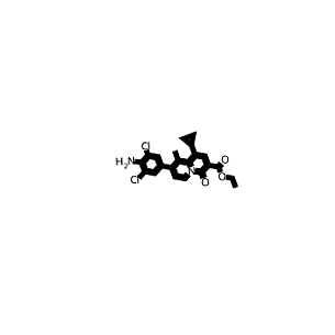 CCOC(=O)c1cc(C2CC2)c2c(C)c(-c3cc(Cl)c(N)c(Cl)c3)ccn2c1=O